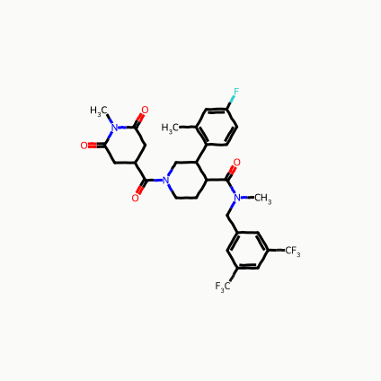 Cc1cc(F)ccc1C1CN(C(=O)C2CC(=O)N(C)C(=O)C2)CCC1C(=O)N(C)Cc1cc(C(F)(F)F)cc(C(F)(F)F)c1